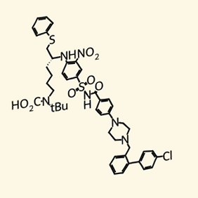 CC(C)(C)N(CCCC[C@H](CSc1ccccc1)Nc1ccc(S(=O)(=O)NC(=O)c2ccc(N3CCN(Cc4ccccc4-c4ccc(Cl)cc4)CC3)cc2)cc1[N+](=O)[O-])C(=O)O